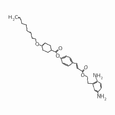 C=CCCCCCCOC1CCC(C(=O)Oc2ccc(/C=C/C(=O)OCCc3cc(N)ccc3N)cc2)CC1